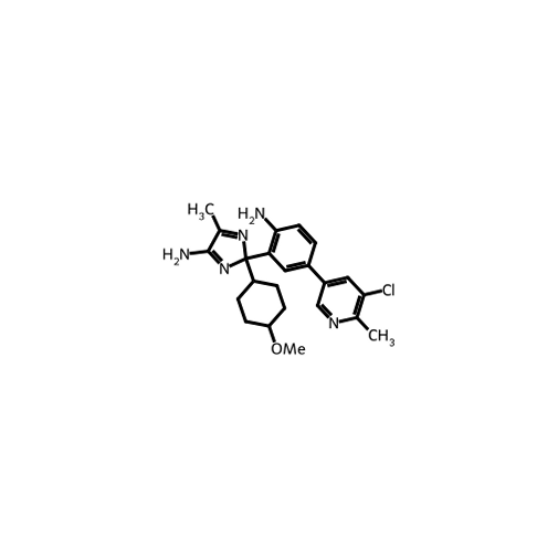 COC1CCC(C2(c3cc(-c4cnc(C)c(Cl)c4)ccc3N)N=C(C)C(N)=N2)CC1